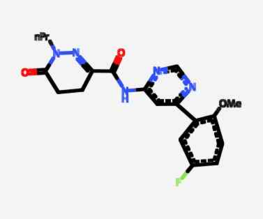 CCCN1N=C(C(=O)Nc2cc(-c3cc(F)ccc3OC)ncn2)CCC1=O